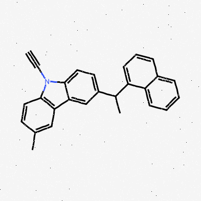 C#Cn1c2ccc(C)cc2c2cc(C(C)c3cccc4ccccc34)ccc21